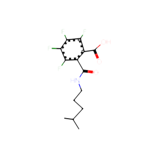 CC(C)CCCNC(=O)c1c(F)c(F)c(F)c(F)c1C(=O)O